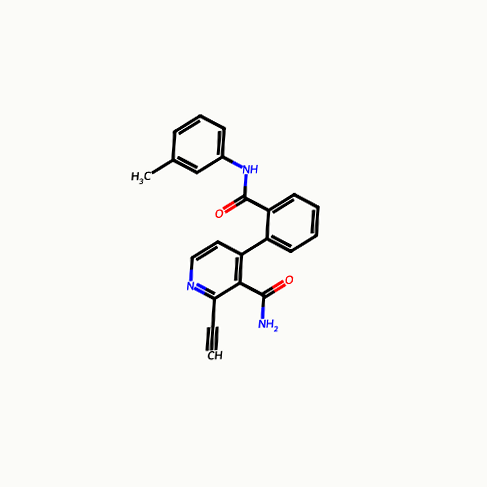 C#Cc1nccc(-c2ccccc2C(=O)Nc2cccc(C)c2)c1C(N)=O